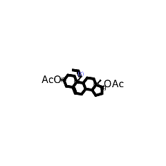 C/C=C\[C@]12CC[C@H](OC(C)=O)CC1=CCC1C2CC[C@@]2(C)C1CC[C@@H]2OC(C)=O